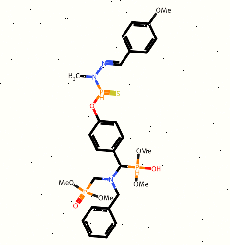 COc1ccc(/C=N/N(C)[PH](=S)Oc2ccc(C(N(Cc3ccccc3)CP(=O)(OC)OC)[PH](O)(OC)OC)cc2)cc1